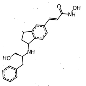 O=C(/C=C/c1ccc2c(c1)CCC2N[C@H](CO)Cc1ccccc1)NO